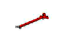 CCN(CC)c1ccc(NC(=O)c2cccc(CCCOCCOCCOCCOCCOCCOCCOCCOCCOCCC(=O)O)c2)c(-c2cc(C)ccn2)c1